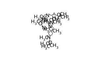 CN(CCOC(C)(C)C)C1CCC(C(C)(C)CC2CN(C(C)(C)C)CCN2CC2CCN(CCOC(C)(C)CC(C)(C)N3CCN(CCC4CC4COC(C)(C)C)CC3)C2)CC1